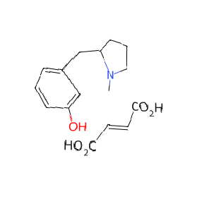 CN1CCCC1Cc1cccc(O)c1.O=C(O)C=CC(=O)O